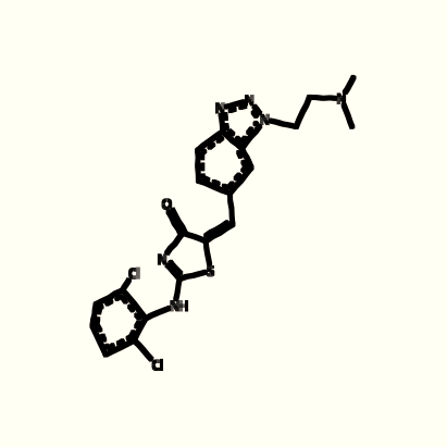 CN(C)CCn1nnc2ccc(C=C3SC(Nc4c(Cl)cccc4Cl)=NC3=O)cc21